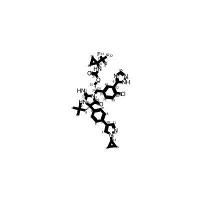 CC(C)(C)C[C@]1(c2ccc(-c3cnn(C4CC4)c3)cc2)NC(=N)N([C@H](COC(=O)NC2(C(F)(F)F)CC2)c2ccc(Cl)c(-c3ncn[nH]3)c2)C1=O